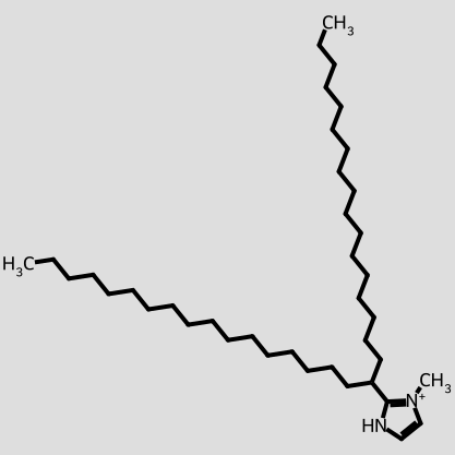 CCCCCCCCCCCCCCCCCC(CCCCCCCCCCCCCCCCC)c1[nH]cc[n+]1C